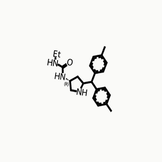 CCNC(=O)N[C@H]1CNC(C(c2ccc(C)cc2)c2ccc(C)cc2)C1